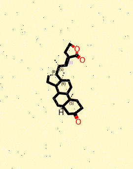 C[C@H](/C=C1\CCOC1=O)[C@H]1CCC2C3CC[C@H]4CC(=O)CC[C@]4(C)C3CC[C@@]21C